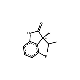 CC(C)[C@@]1(C)C(=O)Nc2cccc(F)c21